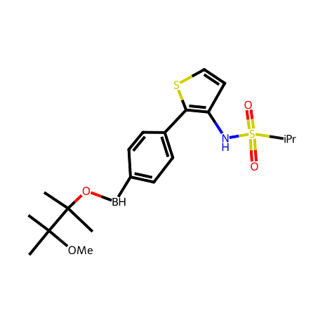 COC(C)(C)C(C)(C)OBc1ccc(-c2sccc2NS(=O)(=O)C(C)C)cc1